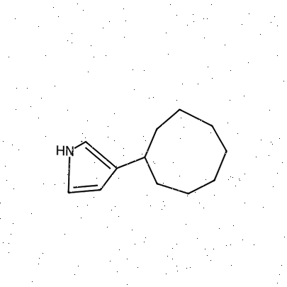 [c]1[nH]ccc1C1CCCCCCC1